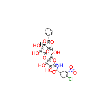 O=C(N[C@@H]1O[C@H](CO)[C@@H](O[C@H]2O[C@@H]3CO[C@@H](c4ccccc4)O[C@H]3[C@H](O)[C@H]2O)[C@H](O)[C@H]1O)c1ccc(Cl)c([N+](=O)[O-])c1